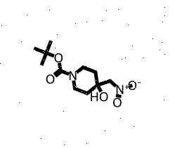 CC(C)(C)OC(=O)N1CCC(O)(C[N+](=O)[O-])CC1